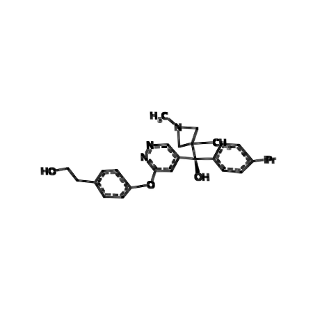 CC(C)c1ccc([C@](O)(c2cnnc(Oc3ccc(CCO)cc3)c2)C2(C)CN(C)C2)cc1